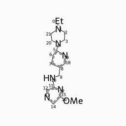 CCN1CCN(c2ccc(CNc3cncc(OC)n3)cn2)CC1